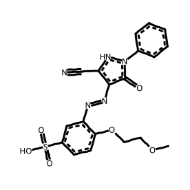 COCCOc1ccc(S(=O)(=O)O)cc1N=Nc1c(C#N)[nH]n(-c2ccccc2)c1=O